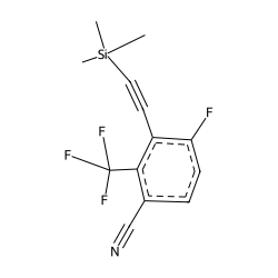 C[Si](C)(C)C#Cc1c(F)ccc(C#N)c1C(F)(F)F